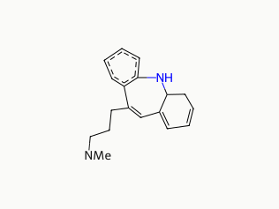 CNCCCC1=CC2=CC=CCC2Nc2ccccc21